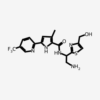 Cc1cc(-c2ccc(C(F)(F)F)cn2)[nH]c1C(=O)NC(CN)c1nc(CO)cs1